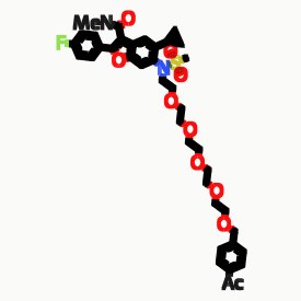 CNC(=O)c1c(-c2ccc(F)cc2)oc2cc(N(CCOCCOCCOCCOCCOCc3ccc(C(C)=O)cc3)S(C)(=O)=O)c(C3CC3)cc12